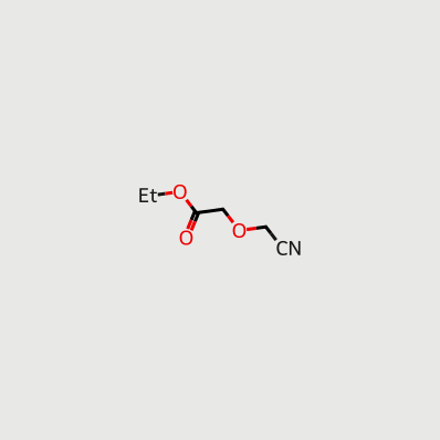 [CH2]COC(=O)COCC#N